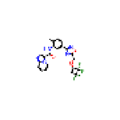 Cc1ccc(-c2noc(COC3CC(F)(F)C3(F)F)n2)cc1NC(=O)c1cnc2ccccn12